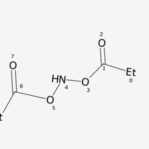 CCC(=O)ONOC(=O)CC